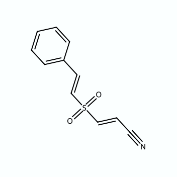 N#C/C=C/S(=O)(=O)/C=C/c1ccccc1